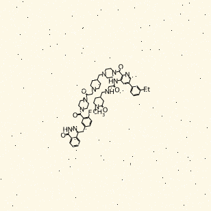 CCc1cccc(-c2cnc(C(=O)N3CCN(CC4CCN(CC(=O)N5CCN(C(=O)c6cc(Cc7n[nH]c(=O)c8ccccc78)ccc6F)CC5)CC4)CC3)c(NC(=O)CNCC3CCN(C)C(=O)C3)c2)c1